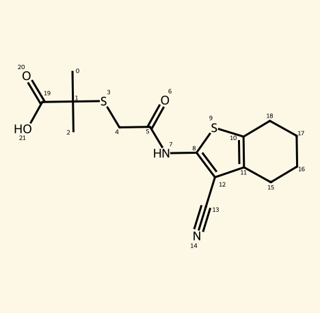 CC(C)(SCC(=O)Nc1sc2c(c1C#N)CCCC2)C(=O)O